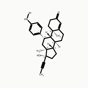 CC#C[C@]1(O)CC[C@H]2[C@@H]3CCC4=CC(=O)CC[C@]4(C)[C@H]3[C@@H](c3ccc(NC(C)C)cc3)C[C@@]21C